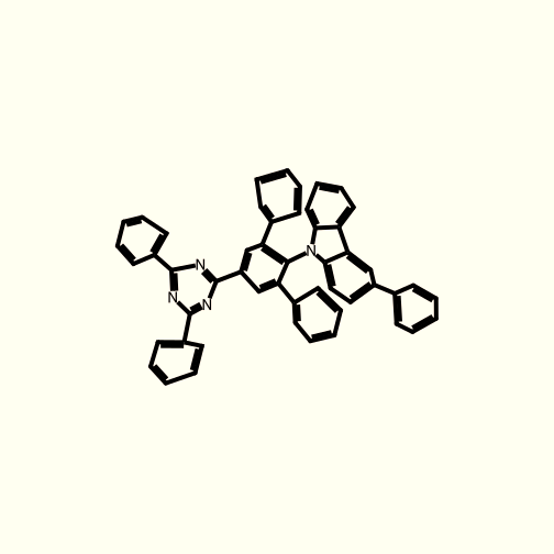 c1ccc(-c2ccc3c(c2)c2ccccc2n3-c2c(-c3ccccc3)cc(-c3nc(-c4ccccc4)nc(-c4ccccc4)n3)cc2-c2ccccc2)cc1